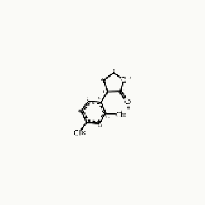 O=C1OCCC1c1ccc(Cl)cc1Cl